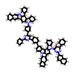 c1ccc(-c2nc(-c3ccc(-n4c5ccccc5c5c6c7ccccc7n7c8cc9ccccc9cc8c(cc54)c67)cc3)c3sc4ccc(-c5ccc6c(c5)c5c7c8ccccc8n(-c8nc(-c9ccc%10ccccc%10c9)nc9c8sc8ccccc89)c7cc7c8cc9ccccc9cc8n6c75)cc4c3n2)cc1